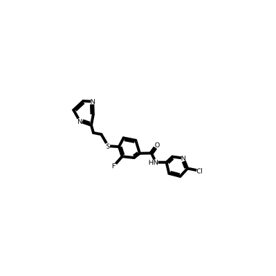 O=C(Nc1ccc(Cl)nc1)c1ccc(SCCc2cnccn2)c(F)c1